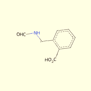 O=CN[C]c1ccccc1C(=O)O